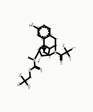 C[C@H]1CC23CCC(N(C)C(=O)OCC(Cl)(Cl)Cl)C1C21CCN(C(=O)C(F)(F)F)C3Cc2ccc(O)cc21